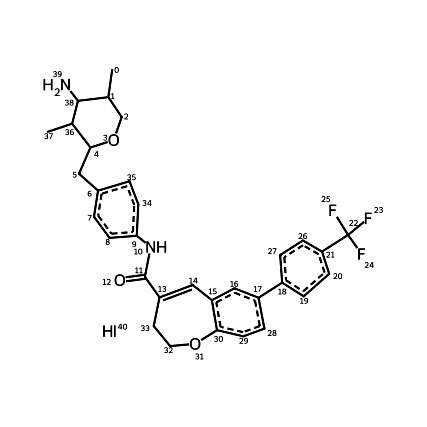 CC1COC(Cc2ccc(NC(=O)C3=Cc4cc(-c5ccc(C(F)(F)F)cc5)ccc4OCC3)cc2)C(C)C1N.I